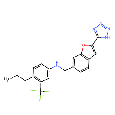 CCCc1ccc(NCc2ccc3cc(-c4nnn[nH]4)oc3c2)cc1C(F)(F)F